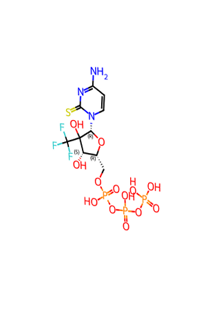 Nc1ccn([C@@H]2O[C@H](COP(=O)(O)OP(=O)(O)OP(=O)(O)O)[C@H](O)C2(O)C(F)(F)F)c(=S)n1